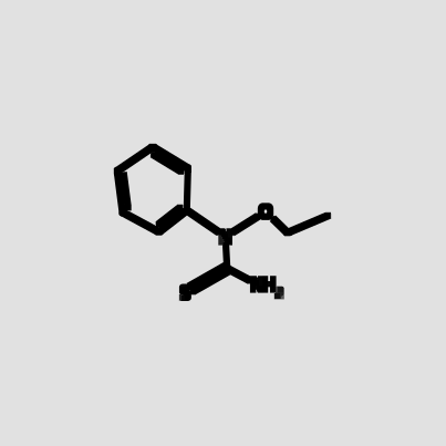 CCON(C(N)=S)c1ccccc1